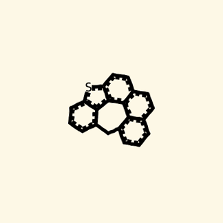 c1cc2c3c(c1)ccc1ccc4sc5cccc(c5c4c13)C2